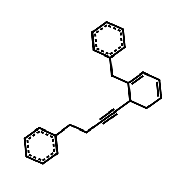 C(#CC1CC=CC=C1Cc1ccccc1)CCc1ccccc1